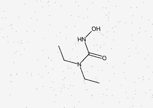 CCN(CC)C(=O)NO